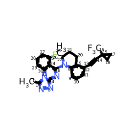 Cc1nnc2nc(N3c4cccc(C#CC5(C(F)(F)F)CC5)c4CCC3C)c3c(F)cccc3n12